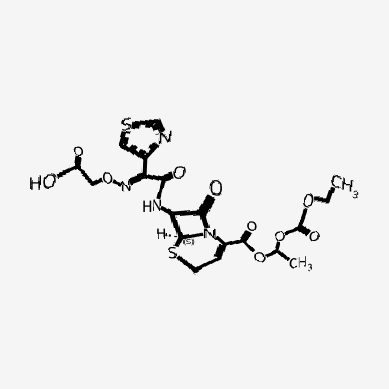 CCOC(=O)OC(C)OC(=O)C1=CCS[C@H]2C(NC(=O)C(=NOCC(=O)O)c3cscn3)C(=O)N12